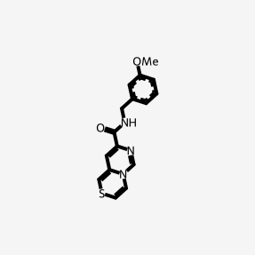 COc1cccc(CNC(=O)C2=CC3=CSC=CN3C=N2)c1